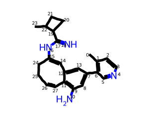 Cc1ccncc1-c1cc(N)c2c(c1)/C=C(/NC(=N)C1CCC1C)CC/C=C\2